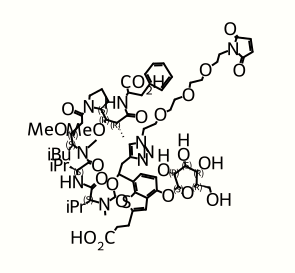 CCC(C)[C@@H]([C@@H](CC(=O)N1CCC[C@H]1[C@H](OC)[C@@H](C)C(=O)NC(Cc1ccccc1)C(=O)O)OC)N(C)C(=O)[C@@H](NC(=O)[C@H](C(C)C)N(C)C(=O)OC(Cc1cn(CCOCCOCCOCCN2C(=O)C=CC2=O)nn1)c1ccc(O[C@@H]2O[C@H](CO)[C@H](O)[C@H](O)[C@H]2O)c2cc(CCC(=O)O)sc12)C(C)C